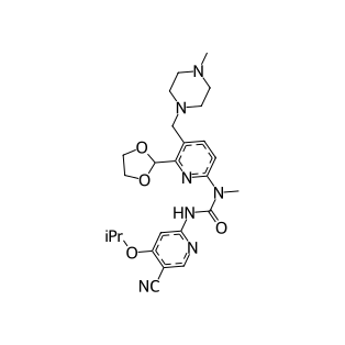 CC(C)Oc1cc(NC(=O)N(C)c2ccc(CN3CCN(C)CC3)c(C3OCCO3)n2)ncc1C#N